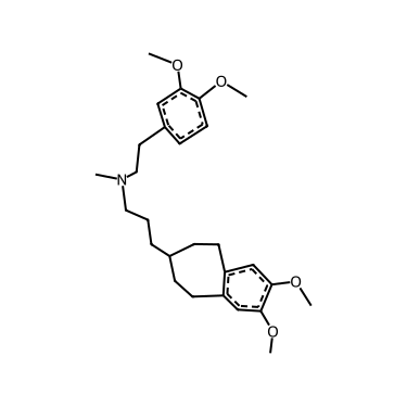 COc1ccc(CCN(C)CCCC2CCc3cc(OC)c(OC)cc3CC2)cc1OC